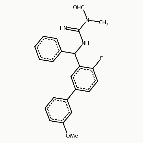 COc1cccc(-c2ccc(F)c(C(NC(=N)N(C)C=O)c3ccccc3)c2)c1